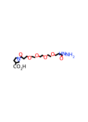 NNC(=O)CCOCCOCCOCCOCCC(=O)N1CCC(C(=O)O)C1